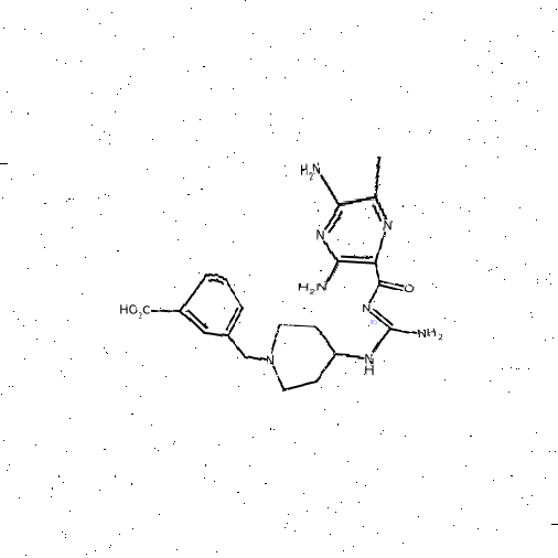 Cc1nc(C(=O)/N=C(\N)NC2CCN(Cc3cccc(C(=O)O)c3)CC2)c(N)nc1N